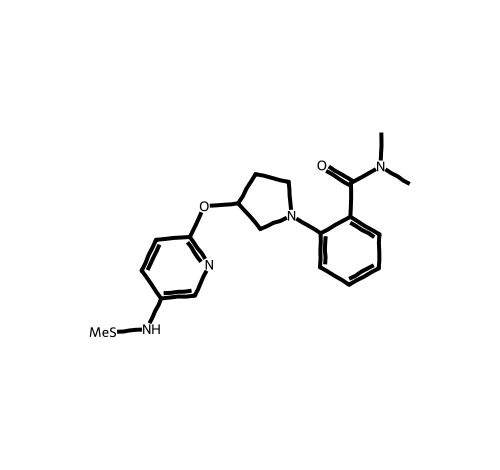 CSNc1ccc(OC2CCN(c3ccccc3C(=O)N(C)C)C2)nc1